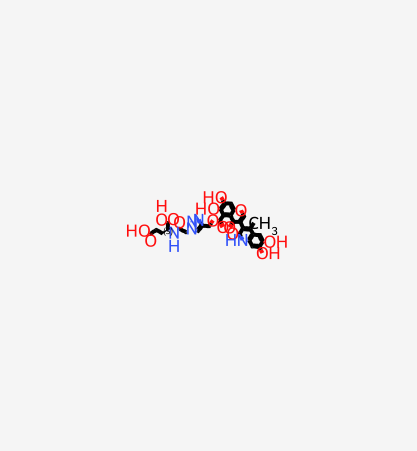 Cc1c(-c2coc3cc(O)c(O)c(C(=O)OCc4cn(CC(=O)N[C@@H](CCC(=O)O)C(=O)O)nn4)c3c2=O)c(=O)[nH]c2cc(O)c(O)cc12